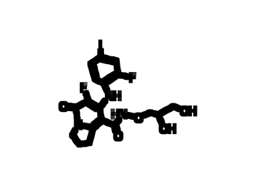 O=C(NOCC(O)CO)c1c(Nc2ccc(I)cc2F)c(F)c(=O)n2c1CCC2